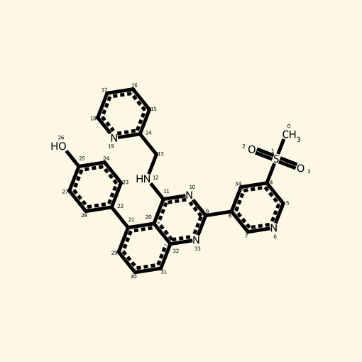 CS(=O)(=O)c1cncc(-c2nc(NCc3ccccn3)c3c(-c4ccc(O)cc4)cccc3n2)c1